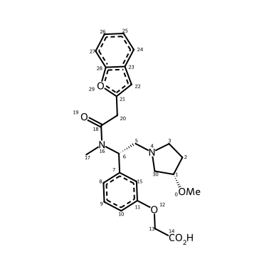 CO[C@H]1CCN(C[C@H](c2cccc(OCC(=O)O)c2)N(C)C(=O)Cc2cc3ccccc3o2)C1